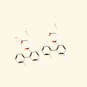 COC(=O)[C@H](CCSC)NC(=O)c1ccc(N)cc1-c1ccccc1C.CSCC[C@H](NC(=O)c1ccc([N+](=O)[O-])cc1-c1ccccc1C)C(=O)O.Cl